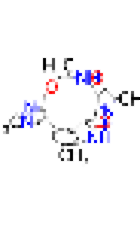 Cc1cc2c([nH]1)/C=C1\C(=O)Nc3c(C)cc(cc31)-c1cn(C)nc1COC[C@@H](C)NC2=O